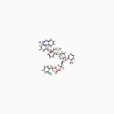 CC(N)=O.CCc1ccccc1OC1(C#CC(C)(C)OS(=O)OC(C)(C)c2ccccc2Cl)CCCCC1.O=C(O)c1ccccc1C(=O)O.Oc1ccccc1-c1ccccc1